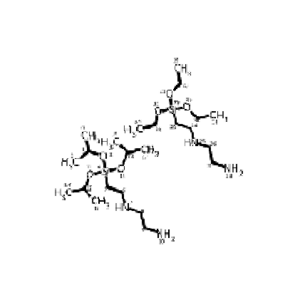 CC(C)O[Si](CCNCCN)(OC(C)C)OC(C)C.CCO[Si](CCNCCN)(OCC)OCC